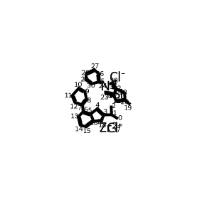 CC(C)C1=Cc2c(-c3ccccc3)cccc2[CH]1[Zr+2].CC1=C2c3cn(-c4ccccc4)cc3C1[Si]2(C)C.[Cl-].[Cl-]